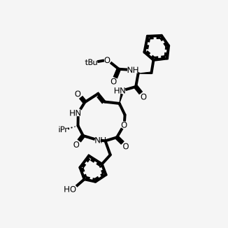 CC(C)[C@@H]1NC(=O)/C=C/[C@@H](NC(=O)[C@H](Cc2ccccc2)NC(=O)OC(C)(C)C)COC(=O)C(Cc2ccc(O)cc2)NC1=O